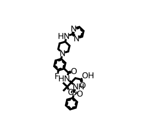 CC(C)(C)C(CC(=O)O)(NC(=O)c1cc(N2CCC(Nc3ncccn3)CC2)ccc1F)NS(=O)(=O)c1ccccc1